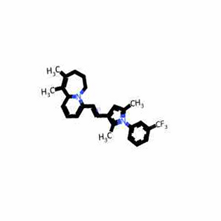 CC1=C(C)C2C=CC=C(/C=C/c3cc(C)n(-c4cccc(C(F)(F)F)c4)c3C)N2CCC1